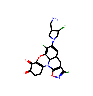 NCC1CN(C2=CC3Cc4c(F)noc4N4C5=C(OC(=C2F)C34)C(=O)C(=O)CC5)CC1Cl